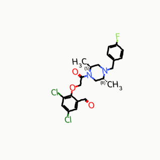 C[C@@H]1CN(C(=O)COc2c(Cl)cc(Cl)cc2C=O)[C@@H](C)CN1Cc1ccc(F)cc1